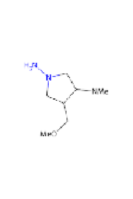 CNC1CN(N)CC1COC